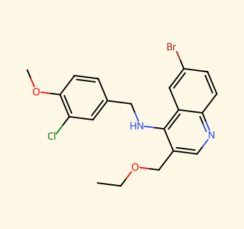 CCOCc1cnc2ccc(Br)cc2c1NCc1ccc(OC)c(Cl)c1